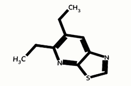 CCc1cc2ncsc2nc1CC